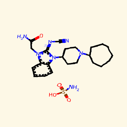 N#C/N=c1/n(CC(N)=O)c2ccccc2n1C1CCN(C2CCCCCCC2)CC1.NS(=O)(=O)O